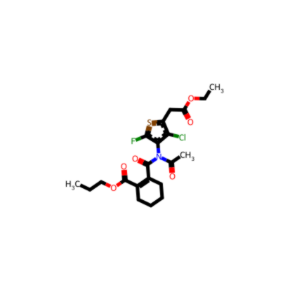 CCCOC(=O)C1=C(C(=O)N(C(C)=O)c2c(F)sc(CC(=O)OCC)c2Cl)CCCC1